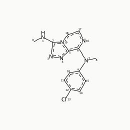 CNc1nnc2c(N(C)c3ccc(Cl)cc3)nccn12